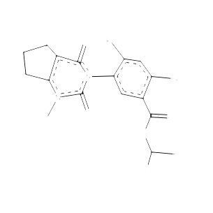 CC(C)OC(=O)c1cc(-n2c(=O)c3c(n(C)c2=O)CCC3)c(Br)cc1Br